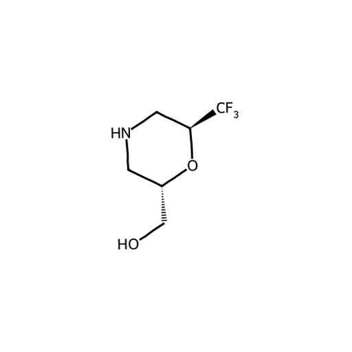 OC[C@@H]1CNC[C@@H](C(F)(F)F)O1